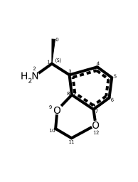 C[C@H](N)c1cccc2c1OCCO2